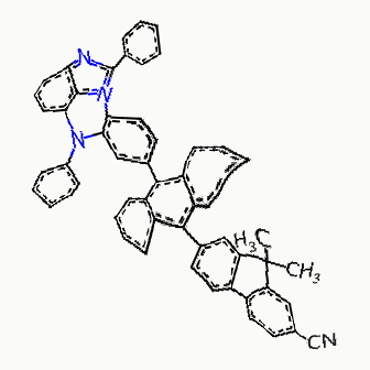 CC1(C)c2cc(C#N)ccc2-c2ccc(-c3c4ccccc4c(-c4ccc5c(c4)N(c4ccccc4)c4cccc6nc(-c7ccccc7)n-5c46)c4ccccc34)cc21